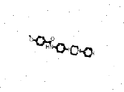 COc1ccc(C(=O)Nc2ccc(N3CCN(c4ccncc4)CC3)cc2)cc1